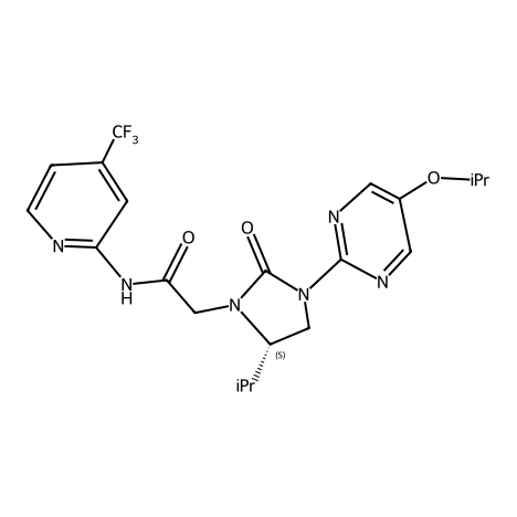 CC(C)Oc1cnc(N2C[C@H](C(C)C)N(CC(=O)Nc3cc(C(F)(F)F)ccn3)C2=O)nc1